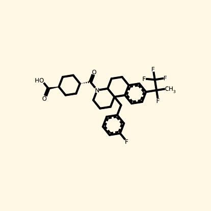 CC(F)(c1ccc2c(c1)CCC1N(C(=O)[C@H]3CC[C@H](C(=O)O)CC3)CCCC21Cc1cccc(F)c1)C(F)(F)F